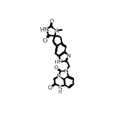 CN1C(=O)NC(=O)C12Cc1cc3nc(Cn4c(=O)n5c6c(cccc64)NC(=O)C5)[nH]c3cc1C2